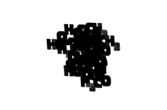 CN[C@@H](CCC(=O)O)C(=O)N[C@H](C(=O)N[C@@H](C)C(=O)Nc1ccc(COC(C)=O)cc1O[C@@H]1O[C@H](C(=O)O)[C@@H](O)[C@H](O)[C@H]1O)C(C)C